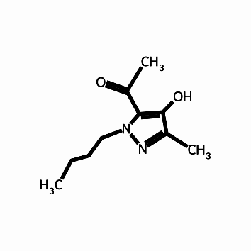 CCCCn1nc(C)c(O)c1C(C)=O